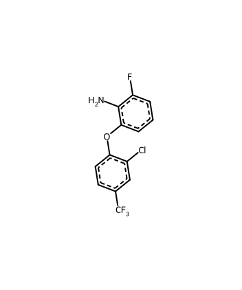 Nc1c(F)cccc1Oc1ccc(C(F)(F)F)cc1Cl